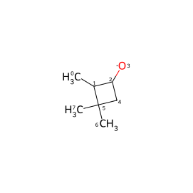 CC1C([O])CC1(C)C